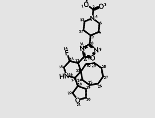 CC(C)(C)OC(=O)N1CCC(c2noc(C3C(F)CNC(C4CCOC4)C34CCCCCCC4)n2)CC1